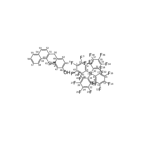 Fc1c(F)c(F)c([B-](c2c(F)c(F)c(F)c(F)c2F)(c2c(F)c(F)c(F)c(F)c2F)c2c(F)c(F)c(F)c(F)c2F)c(F)c1F.Oc1ccc(Cc2ccc3ccccc3c2[SH2+])cc1